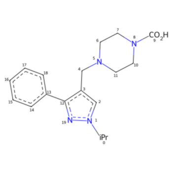 CC(C)n1cc(CN2CCN(C(=O)O)CC2)c(-c2ccccc2)n1